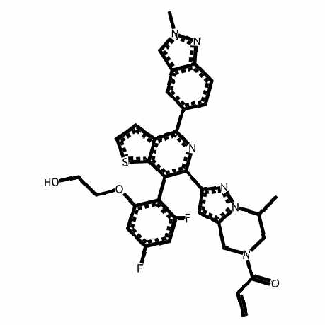 C=CC(=O)N1Cc2cc(-c3nc(-c4ccc5nn(C)cc5c4)c4ccsc4c3-c3c(F)cc(F)cc3OCCO)nn2C(C)C1